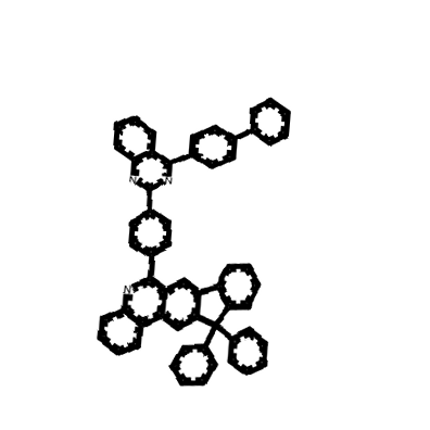 c1ccc(-c2ccc(-c3nc(-c4ccc(-c5nc6ccccc6c6cc7c(cc56)-c5ccccc5C7(c5ccccc5)c5ccccc5)cc4)nc4ccccc34)cc2)cc1